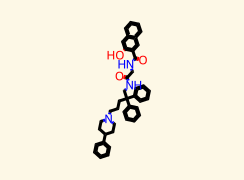 O=C(CNC(=O)c1cc2ccccc2cc1O)NCC(CCCN1CCC(c2ccccc2)CC1)(c1ccccc1)c1ccccc1